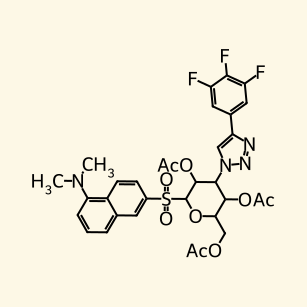 CC(=O)OCC1OC(S(=O)(=O)c2ccc3c(N(C)C)cccc3c2)C(OC(C)=O)C(n2cc(-c3cc(F)c(F)c(F)c3)nn2)C1OC(C)=O